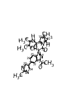 CC(=O)c1nn(CC(=O)N2[C@H](C(=O)N[C@H](C)C(C)C)C[C@@]3(C)C[C@@H]23)c2ccc(-c3cnc(C)nc3)cc12